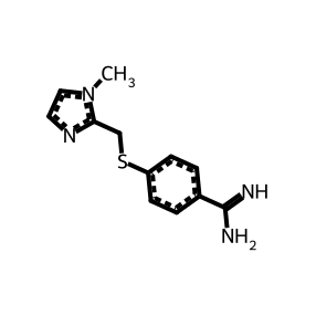 Cn1ccnc1CSc1ccc(C(=N)N)cc1